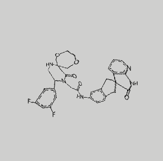 O=C(CN1C(=O)C2(COCCOC2)NCC1c1cc(F)cc(F)c1)Nc1ccc2c(c1)CC1(C2)C(=O)Nc2ncccc21